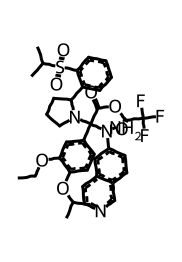 CCOc1cc(C(C(=O)OC(=O)C(F)(F)F)(N(N)c2ccc3cnccc3c2)N2CCCC2c2ccccc2S(=O)(=O)C(C)C)ccc1OC(C)C